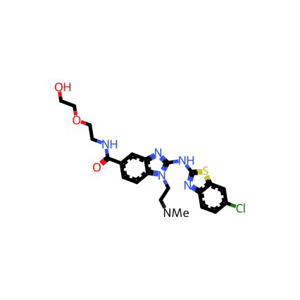 CNCCn1c(Nc2nc3ccc(Cl)cc3s2)nc2cc(C(=O)NCCOCCO)ccc21